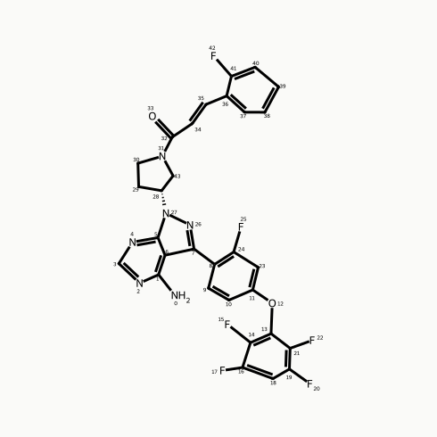 Nc1ncnc2c1c(-c1ccc(Oc3c(F)c(F)cc(F)c3F)cc1F)nn2[C@@H]1CCN(C(=O)C=Cc2ccccc2F)C1